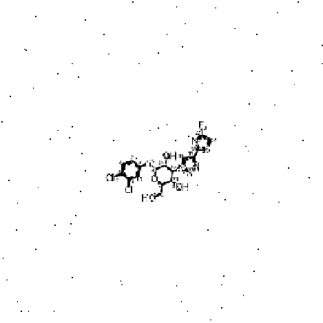 OCC1O[C@H](Sc2ccc(Cl)c(Cl)c2)[C@@H](O)C(n2cc(-c3nc(F)cs3)nn2)[C@H]1O